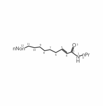 [CH2]CCNC(=O)C=CCCCCCCCCCCCCCCC